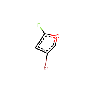 Fc1[c]c(Br)co1